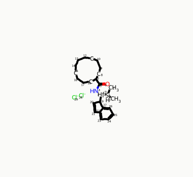 C[SiH](C)[Hf+2]([NH]C(=O)C1CCCCCCCCCCC1)[CH]1C=Cc2ccccc21.[Cl-].[Cl-]